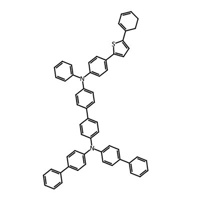 C1=CCCC(c2ccc(-c3ccc(N(c4ccccc4)c4ccc(-c5ccc(N(c6ccc(-c7ccccc7)cc6)c6ccc(-c7ccccc7)cc6)cc5)cc4)cc3)s2)=C1